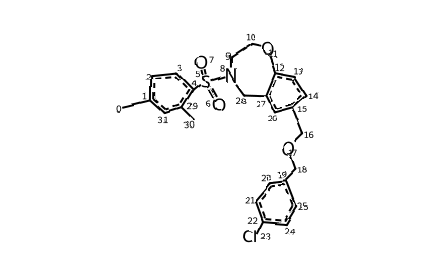 Cc1ccc(S(=O)(=O)N2CCOc3ccc(COCc4ccc(Cl)cc4)cc3C2)c(C)c1